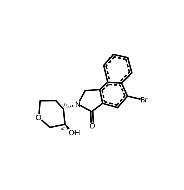 O=C1c2cc(Br)c3ccccc3c2CN1[C@H]1CCOC[C@@H]1O